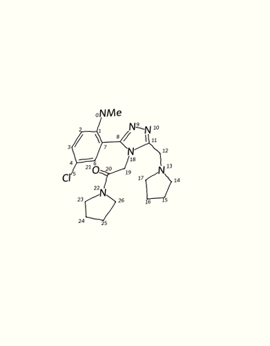 CNc1ccc(Cl)cc1-c1nnc(CN2CCCC2)n1CC(=O)N1CCCC1